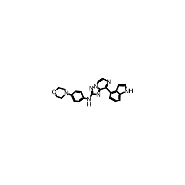 c1cc(-c2nccn3nc(Nc4ccc(N5CCOCC5)cc4)nc23)c2cc[nH]c2c1